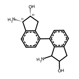 NC1c2c(cccc2-c2cccc3c2C[C@@H](O)[C@H]3N)CC1O